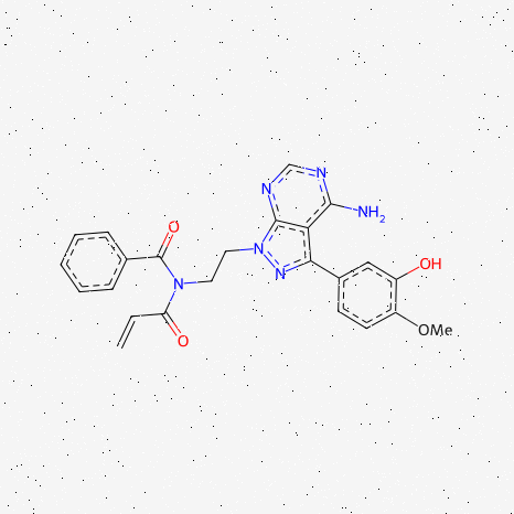 C=CC(=O)N(CCn1nc(-c2ccc(OC)c(O)c2)c2c(N)ncnc21)C(=O)c1ccccc1